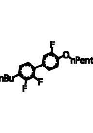 CCCCCOc1ccc(-c2ccc(CCCC)c(F)c2F)cc1F